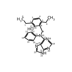 CCc1ccc(CC)c(CN(c2ccccc2)c2ncnc3[nH]cnc23)c1O